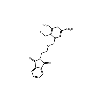 O=C(O)C1=CN(COCCN2C(=O)c3ccccc3C2=O)C(CF)=C(C(=O)O)C1